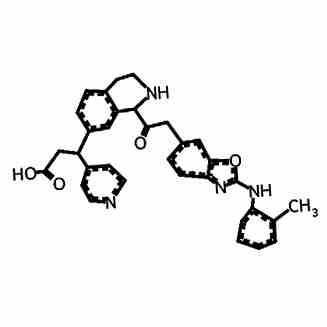 Cc1ccccc1Nc1nc2ccc(CC(=O)C3NCCc4ccc(C(CC(=O)O)c5ccncc5)cc43)cc2o1